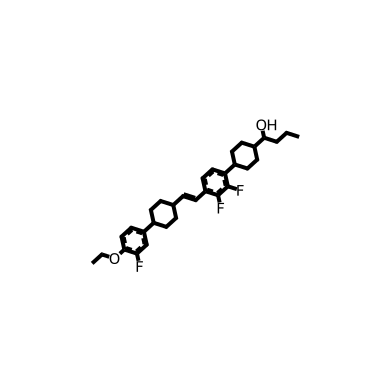 CCCC(O)C1CCC(c2ccc(/C=C/C3CCC(c4ccc(OCC)c(F)c4)CC3)c(F)c2F)CC1